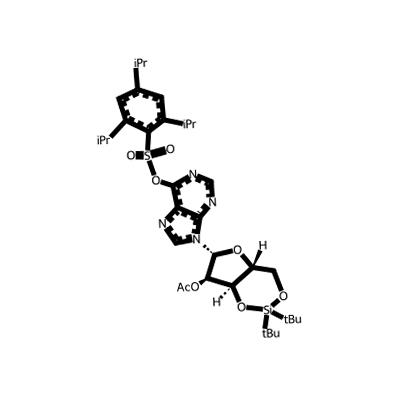 CC(=O)O[C@@H]1[C@@H]2O[Si](C(C)(C)C)(C(C)(C)C)OC[C@H]2O[C@H]1n1cnc2c(OS(=O)(=O)c3c(C(C)C)cc(C(C)C)cc3C(C)C)ncnc21